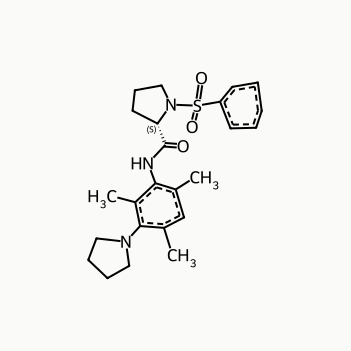 Cc1cc(C)c(N2CCCC2)c(C)c1NC(=O)[C@@H]1CCCN1S(=O)(=O)c1ccccc1